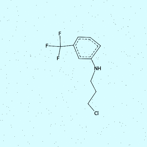 FC(F)(F)c1cccc(NCCCCl)c1